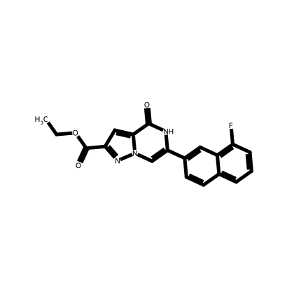 CCOC(=O)c1cc2c(=O)[nH]c(-c3ccc4cccc(F)c4c3)cn2n1